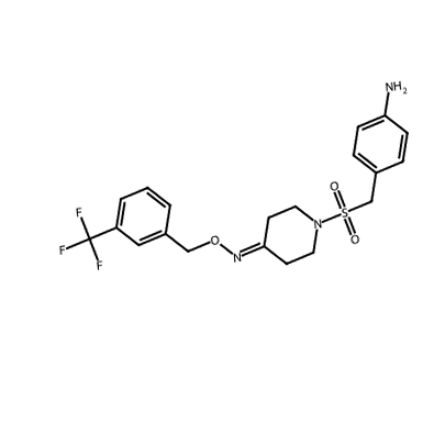 Nc1ccc(CS(=O)(=O)N2CCC(=NOCc3cccc(C(F)(F)F)c3)CC2)cc1